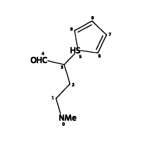 CNCCC(C=O)[SH]1C=CC=C1